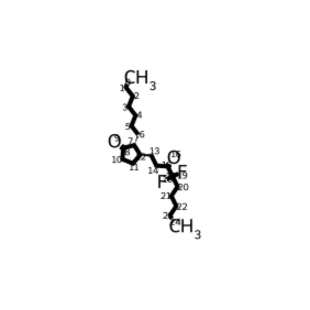 CCCCCCC[C@H]1C(=O)CC[C@@H]1CCC(=O)C(F)(F)CCCCC